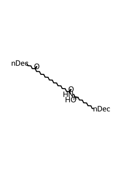 CCCCCCCCCCCCCCCCCC[C@H](O)CNC(=O)CCCCCCCCCCCCCCCC(=O)CCCCCCCCCCCCC